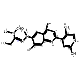 CCN(C=O)/C(CO)=N\N(C)c1cc2c(C(C)C)cc(-c3cc(O)ncc3C)nc2cc1F